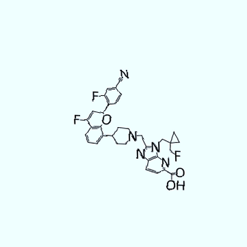 N#Cc1ccc([C@@H]2C=C(F)c3cccc(C4CCN(Cc5nc6ccc(C(=O)O)nc6n5CC5(CF)CC5)CC4)c3O2)c(F)c1